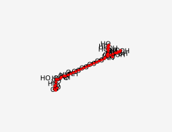 O=C(CC[C@H](NC(=O)CCOCCOCCOCCOCCOCCOCCOCCOCCNC(=O)CNC(=O)CNC(=O)CNC(=O)C(CCNC(=O)CN1C(=O)C=CC1=O)C(=O)O)C(=O)NC[C@H](O)[C@@H](O)[C@H](O)[C@H](O)CO)NC[C@H](O)[C@@H](O)[C@H](O)[C@H](O)CO